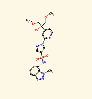 COCC(O)(COC)c1ccnc(-n2cc(S(=O)(=O)Nc3cccc4cnn(C)c34)cn2)c1